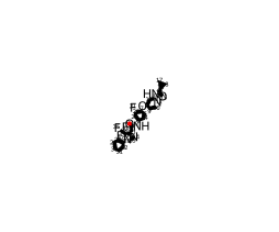 O=C(Nc1ccc(Oc2ccnc(NC(=O)C3CC3)c2)c(F)c1)c1ncn(-c2ccccc2)c1C(F)(F)F